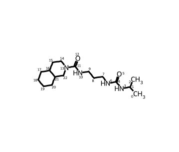 CC(C)NC(=O)NCCCNC(=O)N1CCC2CCCCC2C1